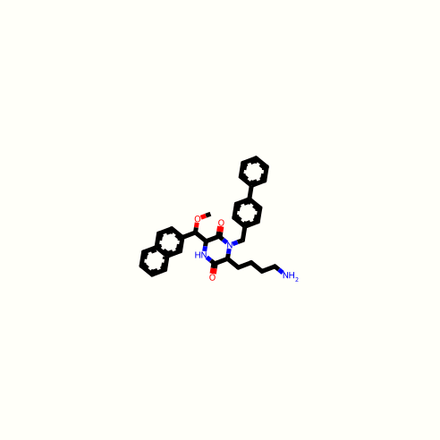 COC(c1ccc2ccccc2c1)C1NC(=O)C(CCCCN)N(Cc2ccc(-c3ccccc3)cc2)C1=O